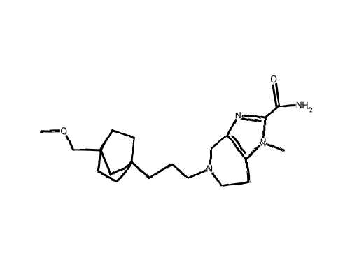 COCC12CCC(CCCN3CCc4c(nc(C(N)=O)n4C)C3)(CC1)C2